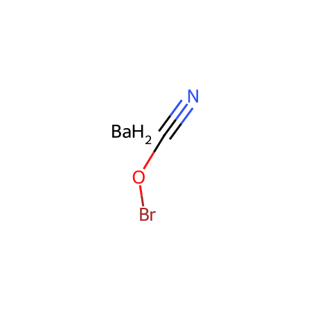 N#COBr.[BaH2]